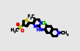 CN1CCc2cc(Nc3ncc(C(F)(F)F)c(-c4cc(S(C)(=O)=O)cs4)n3)c(Cl)cc2C1